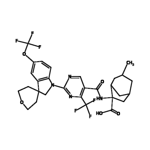 CC1CC2CC(C1)C(NC(=O)c1cnc(N3CC4(CCOCC4)c4cc(OC(F)(F)F)ccc43)nc1C(F)(F)F)(C(=O)O)C2